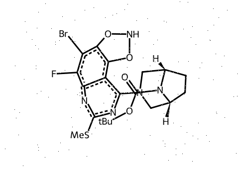 CSc1nc(N2C[C@H]3CC[C@@H](C2)N3C(=O)OC(C)(C)C)c2c3c(c(Br)c(F)c2n1)ONO3